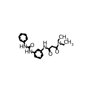 CCN(CC)C(=O)CC(=O)Nc1cccc(NC(=O)Nc2ccccc2)c1